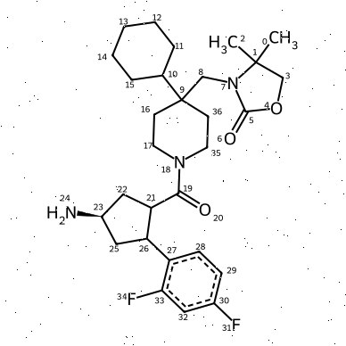 CC1(C)COC(=O)N1CC1(C2CCCCC2)CCN(C(=O)C2C[C@H](N)CC2c2ccc(F)cc2F)CC1